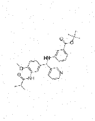 COc1ccc(C(Nc2cccc(C(=O)OC(C)(C)C)c2)c2cccnc2)cc1NC(=O)C(C)C